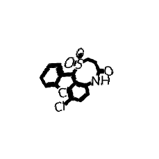 O=C1CCS(=O)(=O)C(c2ccccc2Cl)c2cc(Cl)ccc2N1